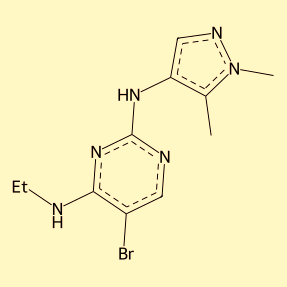 CCNc1nc(Nc2cnn(C)c2C)ncc1Br